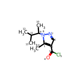 Cc1c(C(=O)Cl)cnn1C(C)C(C)C